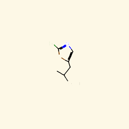 CC(Cc1cnc(Br)s1)C(=O)O